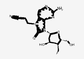 N#CCCn1c(=O)n([C@@H]2O[C@H](CO)[C@@H](F)[C@H]2O)c2nc(N)ncc21